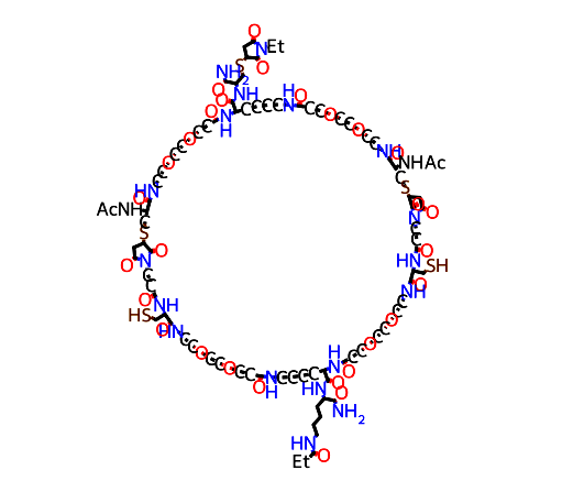 CCC(=O)NCCCCC(NC(=O)C1CCCCNC(=O)CCOCCOCCNC(=O)C(CS)NC(=O)CCN2C(=O)CC(SCC(NC(C)=O)C(=O)NCCOCCOCCC(=O)NC(C(=O)NC(CSC3CC(=O)N(CC)C3=O)C(N)=O)CCCCNC(=O)CCOCCOCCNC(=O)C(NC(C)=O)CSC3CC(=O)N(CCC(=O)NC(CS)C(=O)NCCOCCOCCC(=O)N1)C3=O)C2=O)C(N)=O